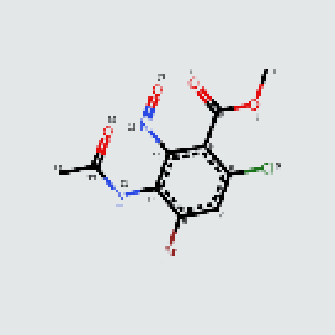 COC(=O)c1c(Cl)cc(Br)c(NC(C)=O)c1N=O